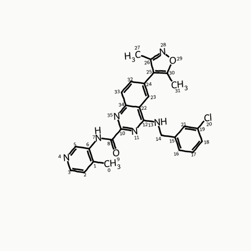 Cc1ccncc1NC(=O)c1nc(NCc2cccc(Cl)c2)c2cc(-c3c(C)noc3C)ccc2n1